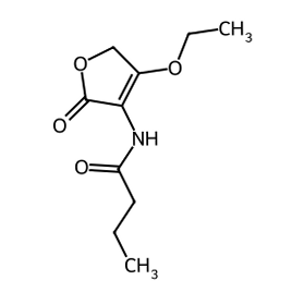 CCCC(=O)NC1=C(OCC)COC1=O